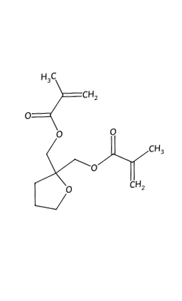 C=C(C)C(=O)OCC1(COC(=O)C(=C)C)CCCO1